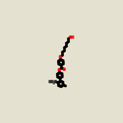 Cc1ccc(C(=O)O)c(-c2ccc(OC(=O)c3ccc(OCCCCCCCCO)cc3)cc2)c1